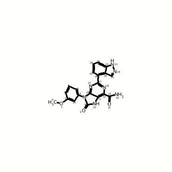 COc1cccc(-n2c(=O)[nH]c3c(C(N)=O)nc(-c4cccc5[nH]ncc45)nc32)c1